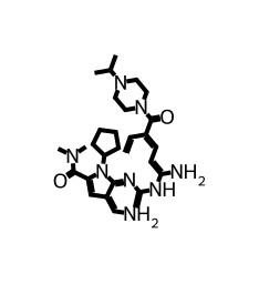 C=C/C(=C\C=C(/N)NC(=C)/N=C1\C(=C/N)C=C(C(=O)N(C)C)N1C1CCCC1)C(=O)N1CCN(C(C)C)CC1